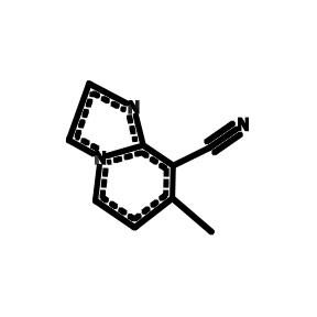 Cc1ccn2ccnc2c1C#N